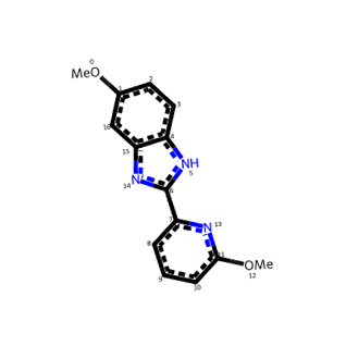 COc1ccc2[nH]c(-c3cccc(OC)n3)nc2c1